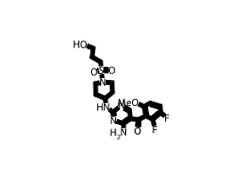 COc1ccc(F)c(F)c1C(=O)c1cnc(NC2CCN(S(=O)(=O)CCCO)CC2)nc1N